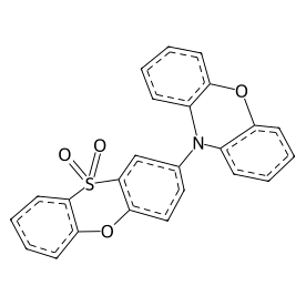 O=S1(=O)c2ccccc2Oc2ccc(N3c4ccccc4Oc4ccccc43)cc21